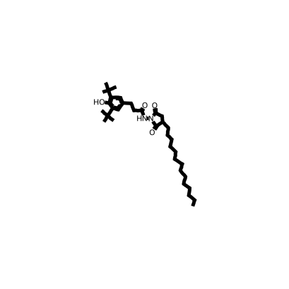 CCCCCCCCCCCCCCC1CC(=O)N(NC(=O)CCc2cc(C(C)(C)C)c(O)c(C(C)(C)C)c2)C1=O